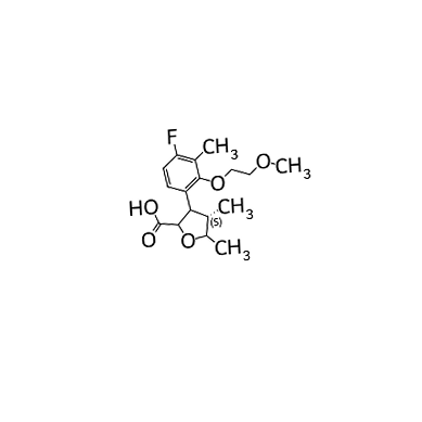 COCCOc1c(C2C(C(=O)O)OC(C)[C@H]2C)ccc(F)c1C